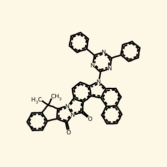 CC1(C)c2ccccc2-c2c1n1c3ccc4c(c3c(=O)n1c2=O)c1c2ccccc2ccc1n4-c1nc(-c2ccccc2)nc(-c2ccccc2)n1